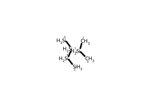 C[SiH2]C.[SiH3][SiH2][SiH2][SiH3]